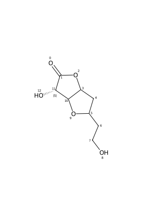 O=C1OC2CC(CCO)OC2[C@@H]1O